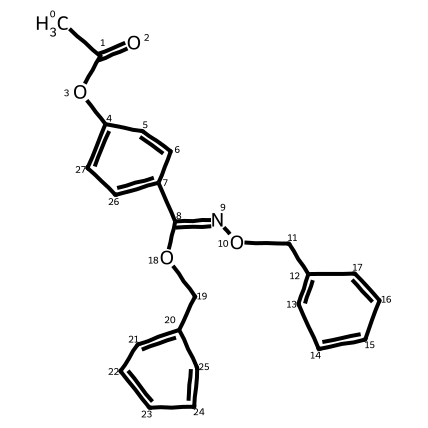 CC(=O)Oc1ccc(/C(=N/OCc2ccccc2)OCc2ccccc2)cc1